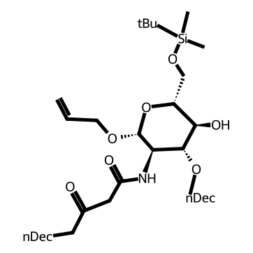 C=CCO[C@@H]1O[C@H](CO[Si](C)(C)C(C)(C)C)[C@@H](O)[C@H](OCCCCCCCCCC)[C@H]1NC(=O)CC(=O)CCCCCCCCCCC